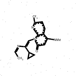 C/C=N\C(=C\n1c(=O)cc(NC)c2ccc(C(F)(F)F)nc21)C1CC1